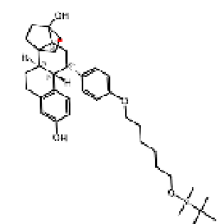 CC(C)(C)[Si](C)(C)OCCCCCCOc1ccc([C@H]2C[C@]3(C)C4(O)CCC3(CC4)[C@@H]3CCc4cc(O)ccc4[C@@H]23)cc1